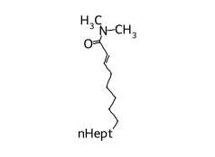 CCCCCCCCCCCC/C=C/C(=O)N(C)C